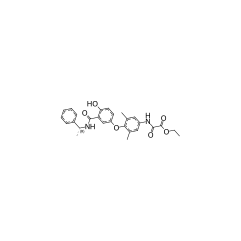 CCOC(=O)C(=O)Nc1cc(C)c(Oc2ccc(O)c(C(=O)N[C@H](C)c3ccccc3)c2)c(C)c1